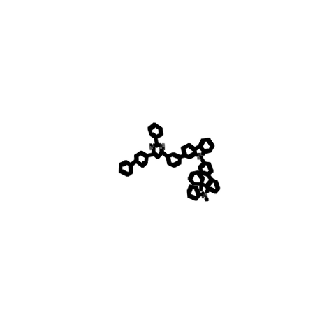 CN(c1ccccc1)c1cccc(-c2ccc(-n3c4ccccc4c4ccc(-c5cccc(-c6cc(-c7ccc(-c8ccccc8)cc7)nc(-c7ccccc7)n6)c5)cc43)cc2)c1C1(C)C=CC=CC1